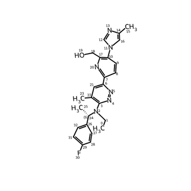 CCN(c1nnc(-c2ccc(-n3cnc(C)c3)c(CO)n2)cc1C)[C@@H](C)c1ccc(F)cc1